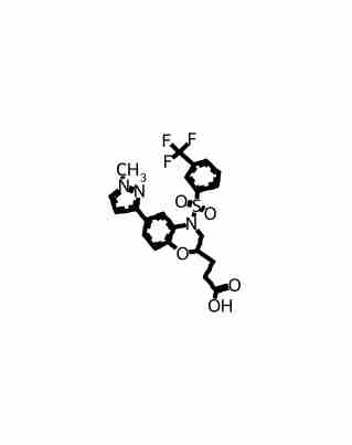 Cn1ccc(-c2ccc3c(c2)N(S(=O)(=O)c2cccc(C(F)(F)F)c2)CC(CCC(=O)O)O3)n1